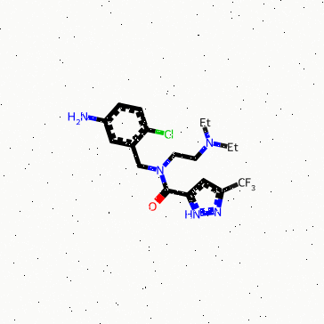 CCN(CC)CCN(Cc1cc(N)ccc1Cl)C(=O)c1cc(C(F)(F)F)n[nH]1